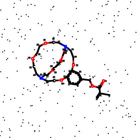 C=C(C)C(=O)OCc1ccc2c(c1)OCCN1CCOCCOCCN(CCOCCOCC1)CCO2